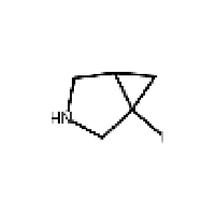 IC12CNCC1C2